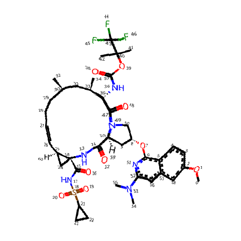 COc1ccc2c(O[C@@H]3C[C@H]4C(=O)N[C@]5(C(=O)NS(=O)(=O)C6CC6)C[C@H]5/C=C\CC[C@@H](C)C[C@@H](C)[C@H](NC(=O)OC(C)(C)C(F)(F)F)C(=O)N4C3)nc(N(C)C)cc2c1